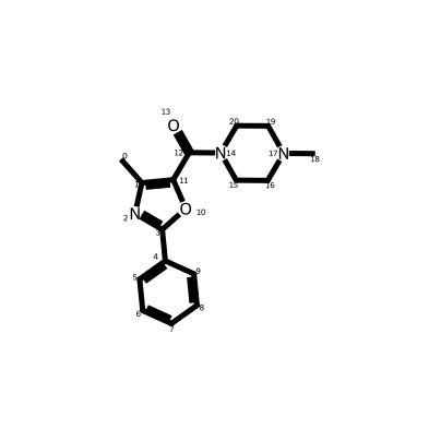 Cc1nc(-c2ccccc2)oc1C(=O)N1CCN(C)CC1